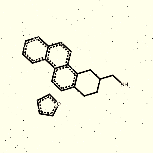 NCC1CCc2ccc3c(ccc4ccccc43)c2C1.c1ccoc1